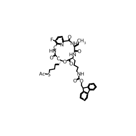 C/C=C1\NC(=O)c2ccc(F)c(n2)CNC(=O)C[C@@H](/C=C/CCSC(C)=O)OC(=O)[C@H](CCCCNC(=O)OCC2c3ccccc3-c3ccccc32)NC1=O